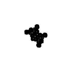 c1ccc2c(c1)oc1c(N(c3ccc4ccc5ccc(N(c6cccc7c6oc6ccccc67)c6cccc7c6oc6ccccc67)c6ccc3c4c56)c3cccc4c3oc3ccccc34)cccc12